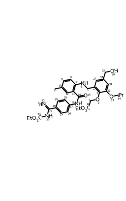 CCOC(=O)COc1c(CNc2ccc(C)cc2C(=O)Nc2ccc(C(=N)NC(=O)OCC)cc2)cc(CO)cc1OC(C)C